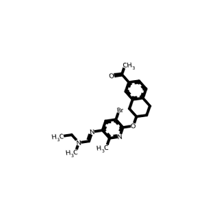 CCN(C)/C=N/c1cc(Br)c(OC2CCc3ccc(C(C)=O)cc3C2)nc1C